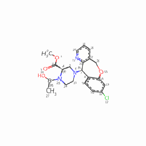 COC(=O)[C@H]1CN([C@@H]2c3ccc(Cl)cc3OCc3cccnc32)CCN1B(C)O